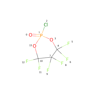 O=P1(Cl)OC(F)(F)C(F)(F)C(F)(F)O1